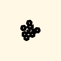 C[Si]1(C)c2cccc3cccc(c23)-c2ccc3c4ccccc4n(-c4nc(-c5ccccc5)c5ccccc5n4)c3c21